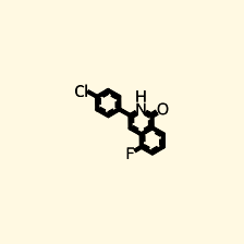 O=c1[nH]c(-c2ccc(Cl)cc2)cc2c(F)cccc12